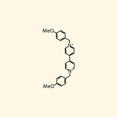 COc1ccc(C[n+]2ccc(-c3cc[n+](Cc4ccc(OC)cc4)cc3)cc2)cc1